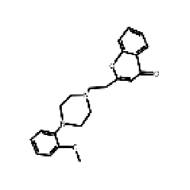 COc1ccccc1N1CCN(CCc2cc(=O)c3ccccc3o2)CC1